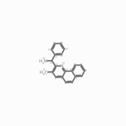 Cc1cc2ccc3ccccc3c2nc1C(N)c1ccccc1